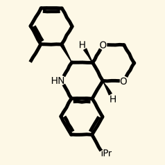 CC1=CC=CCC1[C@@H]1Nc2ccc(C(C)C)cc2[C@H]2OCCO[C@H]21